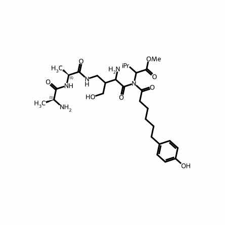 COC(=O)C(C(C)C)N(C(=O)CCCCCc1ccc(O)cc1)C(=O)C(N)C(CO)CNC(=O)[C@H](C)NC(=O)[C@H](C)N